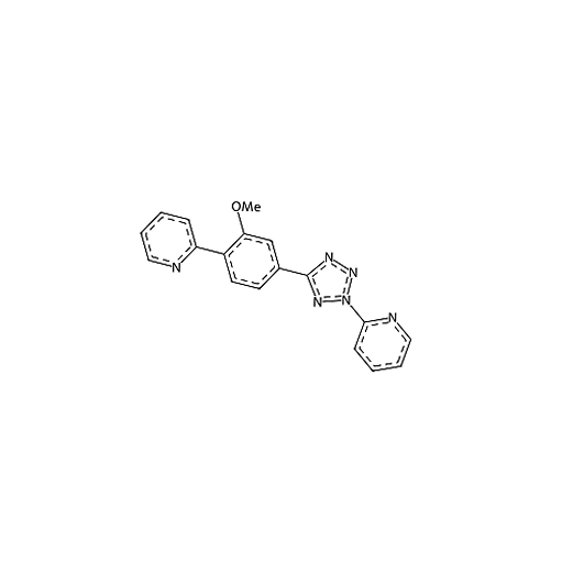 COc1cc(-c2nnn(-c3ccccn3)n2)ccc1-c1ccccn1